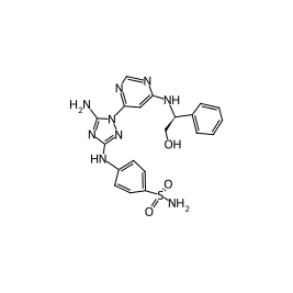 Nc1nc(Nc2ccc(S(N)(=O)=O)cc2)nn1-c1cc(N[C@H](CO)c2ccccc2)ncn1